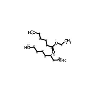 CCCCCC(=O)OCC.CCCCCCCCCCCCCCCCO